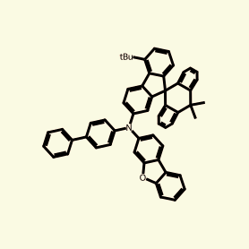 CC(C)(C)c1cccc2c1-c1ccc(N(c3ccc(-c4ccccc4)cc3)c3ccc4c(c3)oc3ccccc34)cc1C21c2ccccc2C(C)(C)c2ccccc21